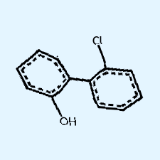 Oc1ccc[c]c1-c1ccccc1Cl